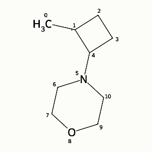 C[C]1CCC1N1CCOCC1